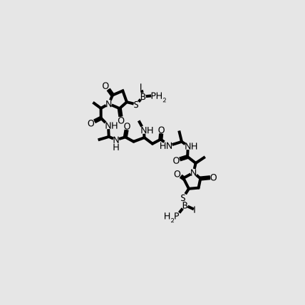 CNC(CC(=O)NC(C)NC(=O)C(C)N1C(=O)CC(SB(P)I)C1=O)CC(=O)NC(C)NC(=O)C(C)N1C(=O)CC(SB(P)I)C1=O